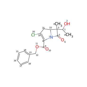 CC(O)C1(C)C(=O)N2C(C(=O)OCc3ccccc3)=C(Cl)CC21